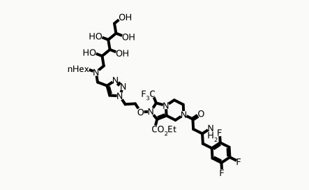 CCCCCCN(Cc1cn(CCON2C(C(=O)OCC)=C3CN(C(=O)CC(N)Cc4cc(F)c(F)cc4F)CCN3C2C(F)(F)F)nn1)CC(O)C(O)C(O)C(O)CO